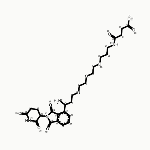 NC(CCOCCOCCOCCCNC(=O)CCC(=O)O)c1cccc2c1C(=O)N(C1CCC(=O)NC1=O)C2=O